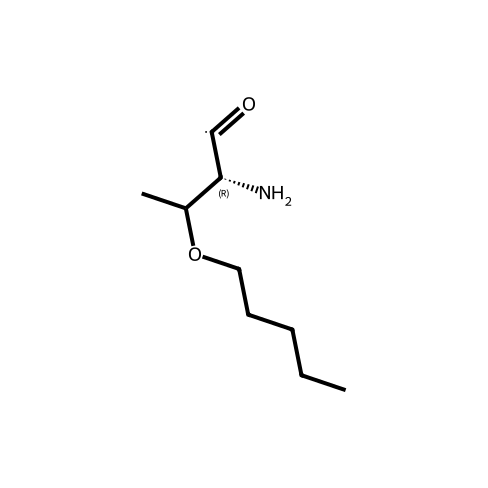 CCCCCOC(C)[C@@H](N)[C]=O